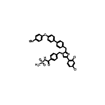 CC(C)(C)c1ccc(Oc2ccc(-c3ccc(Cc4nc(-c5ccc(Cl)cc5Cl)cn4Cc4ccc(C(=O)NS(C)(=O)=O)cc4)cc3)cc2)cc1